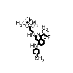 C=C(c1nc(NCCC(=O)OC(C)(C)C)cc2c(NC3CCN(C)CC3)cccc12)C(F)(F)F